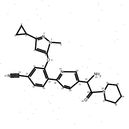 Cn1nc(C2CC2)cc1Oc1cc(C#N)ccc1-c1ccc(C(N)C(=O)N2CCCCC2)cn1